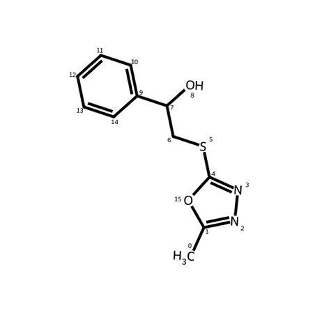 Cc1nnc(SCC(O)c2ccccc2)o1